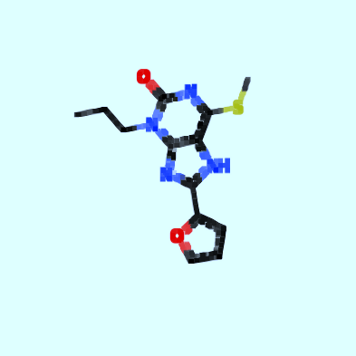 CCCn1c(=O)nc(SC)c2[nH]c(-c3ccco3)nc21